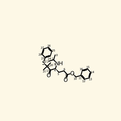 CC(C)N[C@@H](CCC(=O)OCc1ccccc1)C(=O)C(C)(C)Sc1ccccc1